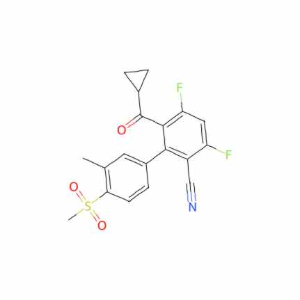 Cc1cc(-c2c(C#N)c(F)cc(F)c2C(=O)C2CC2)ccc1S(C)(=O)=O